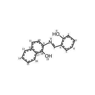 Oc1ccccc1C=Nc1ccc2ccccc2c1O